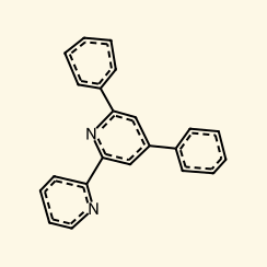 c1ccc(-c2cc(-c3ccccc3)nc(-c3ccccn3)c2)cc1